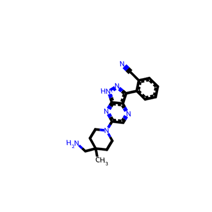 CC1(CN)CCN(c2cnc3c(-c4ccccc4C#N)n[nH]c3n2)CC1